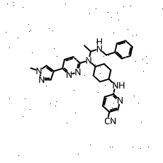 CC(NCc1ccccc1)N(c1ccc(-c2cnn(C)c2)nn1)C1CCC(Nc2ccc(C#N)cn2)CC1